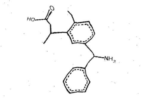 Cc1ccc(C(N)c2ccccc2)cc1C(C)C(=O)O